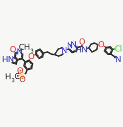 Cn1cc(-c2cc(CS(C)(=O)=O)ccc2Oc2ccc(CCC3CCN(c4ccc(C(=O)NC5CCC(Oc6ccc(C#N)c(Cl)c6)CC5)nn4)CC3)cc2)c2cc[nH]c2c1=O